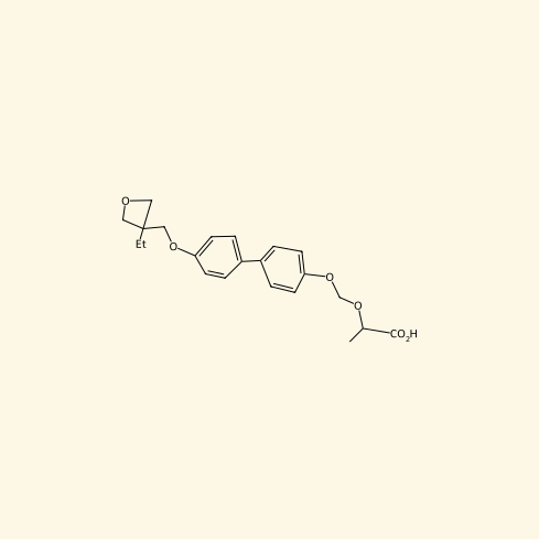 CCC1(COc2ccc(-c3ccc(OCOC(C)C(=O)O)cc3)cc2)COC1